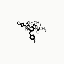 CC(=O)N1CC(C)(C)c2c1cc(Cc1ccc(F)cc1)c1nn(C3CC(=O)C3)c(=O)n21